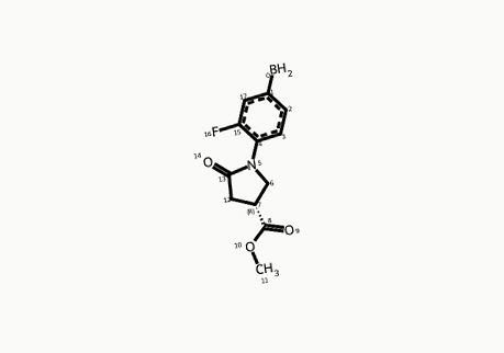 Bc1ccc(N2C[C@H](C(=O)OC)CC2=O)c(F)c1